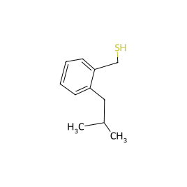 CC(C)Cc1ccccc1CS